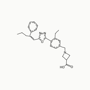 CCC/C(=C/c1nnc(-c2ccc(CN3CC(C(=O)O)C3)cc2CC)o1)c1ccccc1